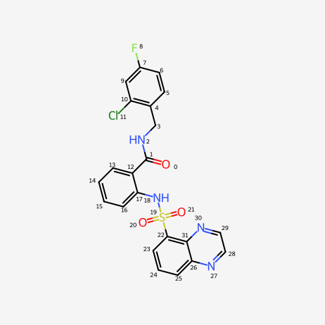 O=C(NCc1ccc(F)cc1Cl)c1ccccc1NS(=O)(=O)c1cccc2nccnc12